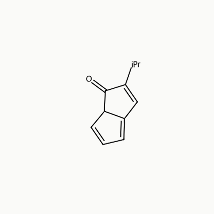 CC(C)C1=CC2=CC=CC2C1=O